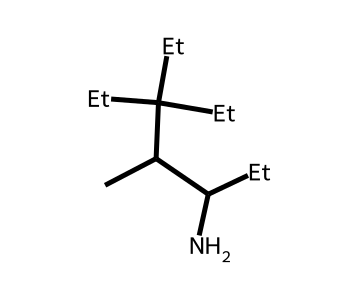 CCC(N)C(C)C(CC)(CC)CC